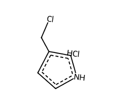 Cl.ClCc1cc[nH]c1